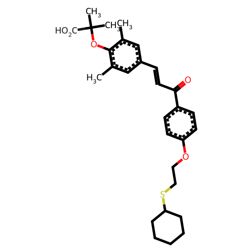 Cc1cc(C=CC(=O)c2ccc(OCCSC3CCCCC3)cc2)cc(C)c1OC(C)(C)C(=O)O